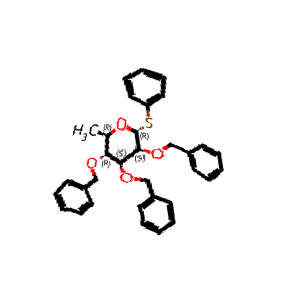 C[C@H]1O[C@H](Sc2ccccc2)[C@@H](OCc2ccccc2)[C@@H](OCc2ccccc2)[C@@H]1OCc1ccccc1